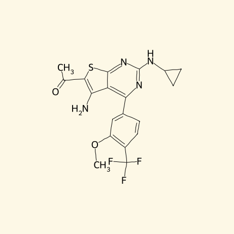 COc1cc(-c2nc(NC3CC3)nc3sc(C(C)=O)c(N)c23)ccc1C(F)(F)F